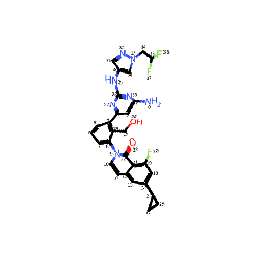 Nc1cc(-c2cccc(-n3ccc4cc(C5CC5)cc(F)c4c3=O)c2CO)nc(Nc2cnn(CC(F)F)c2)n1